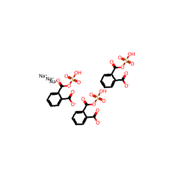 O=C([O-])c1ccccc1C(=O)OS(=O)(=O)O.O=C([O-])c1ccccc1C(=O)OS(=O)(=O)O.O=C([O-])c1ccccc1C(=O)OS(=O)(=O)O.[Na+].[Na+].[Na+]